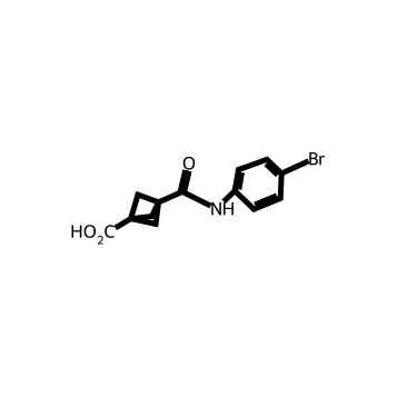 O=C(O)C12CC(C(=O)Nc3ccc(Br)cc3)(C1)C2